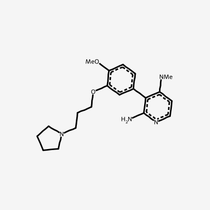 CNc1ccnc(N)c1-c1ccc(OC)c(OCCCN2CCCC2)c1